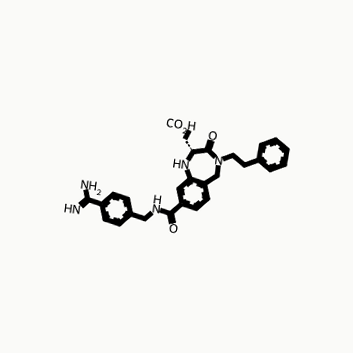 N=C(N)c1ccc(CNC(=O)c2ccc3c(c2)N[C@H](CC(=O)O)C(=O)N(CCc2ccccc2)C3)cc1